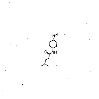 CN(C)CCC(=O)N[C@H]1CC[C@H](NI)CC1